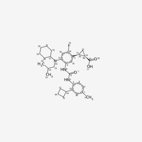 Cc1ccc(NC(=O)Nc2cc([C@H]3C[C@H]3C(=O)O)c(F)cc2N(CC(C)C)C2CCCCC2)c(C2CCC2)c1